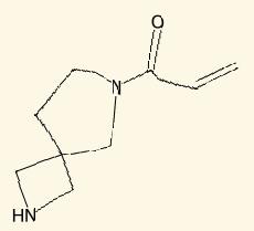 C=CC(=O)N1CCC2(CNC2)C1